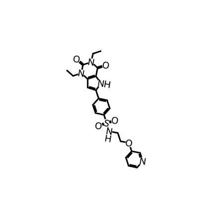 CCn1c(=O)c2[nH]c(-c3ccc(S(=O)(=O)NCCOc4cccnc4)cc3)cc2n(CC)c1=O